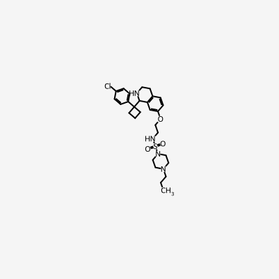 CCCN1CCN(S(=O)(=O)NCCOc2ccc3c(c2)C(C2(c4ccc(Cl)cc4)CCC2)NCC3)CC1